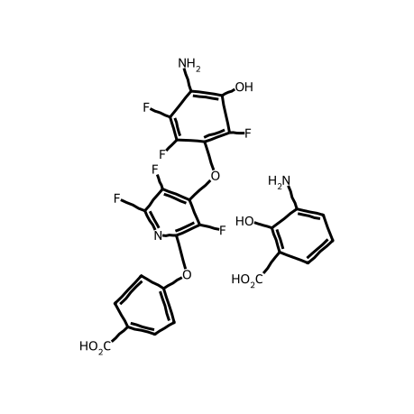 Nc1c(O)c(F)c(Oc2c(F)c(F)nc(Oc3ccc(C(=O)O)cc3)c2F)c(F)c1F.Nc1cccc(C(=O)O)c1O